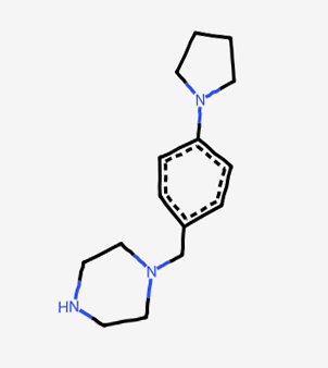 c1cc(N2CCCC2)ccc1CN1CCNCC1